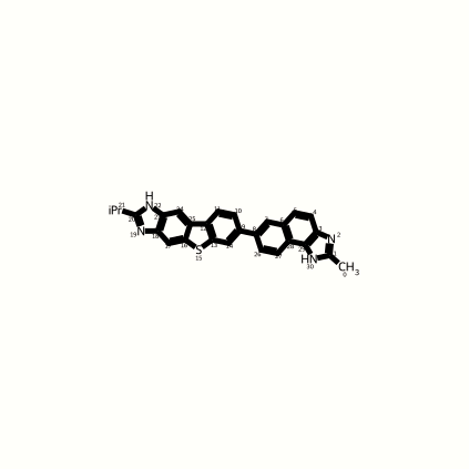 Cc1nc2ccc3cc(-c4ccc5c(c4)sc4cc6nc(C(C)C)[nH]c6cc45)ccc3c2[nH]1